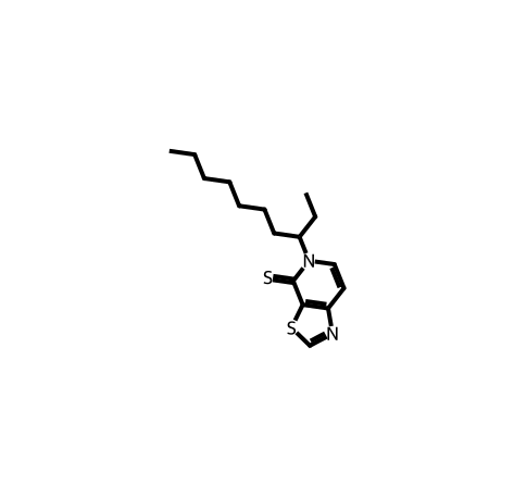 CCCCCCCC(CC)n1ccc2ncsc2c1=S